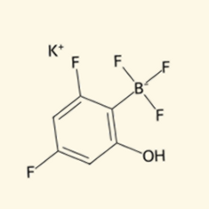 Oc1cc(F)cc(F)c1[B-](F)(F)F.[K+]